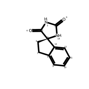 O=C1NC(=O)[C@]2(CCc3ccccc32)N1